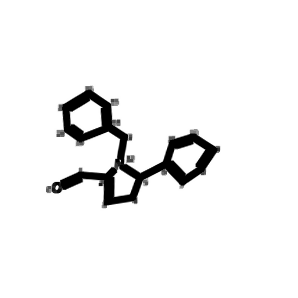 O=CC1=CCC(c2ccccc2)N1Cc1ccccc1